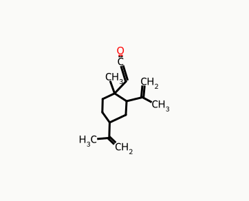 C=C(C)C1CCC(C)(C=C=O)C(C(=C)C)C1